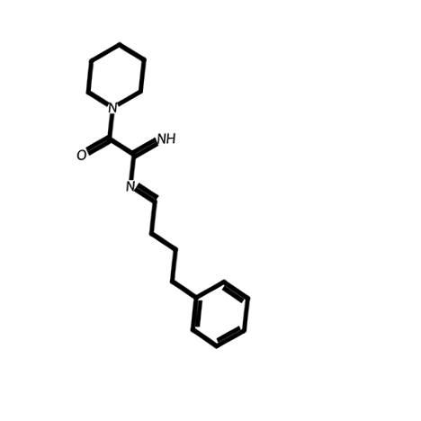 N=C(/N=C/CCCc1ccccc1)C(=O)N1CCCCC1